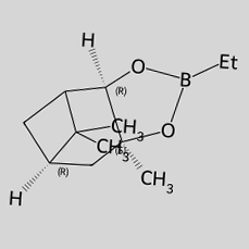 CCB1O[C@@H]2C3C[C@H](C[C@]2(C)O1)C3(C)C